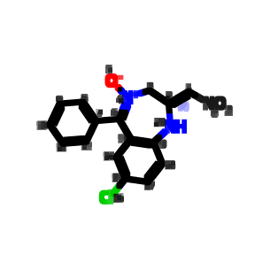 O=[N+]([O-])/C=C1/C[N+]([O-])=C(c2ccccc2)c2cc(Cl)ccc2N1